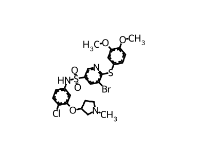 COc1ccc(Sc2ncc(S(=O)(=O)Nc3ccc(Cl)c(OC4CCN(C)C4)c3)cc2Br)cc1OC